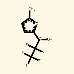 Cc1ccc([C@@H](O)C(F)(F)C(F)(F)F)o1